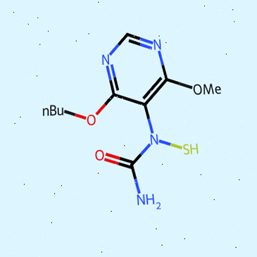 CCCCOc1ncnc(OC)c1N(S)C(N)=O